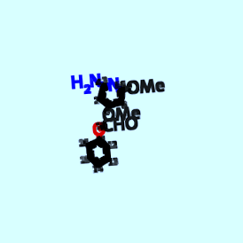 COc1cc(N)nc(OC)c1.O=COc1ccccc1